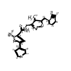 CC1C(CNC(=O)c2cc(-c3ccncc3)nn2C(C)C)=NOC1Cc1ccccc1